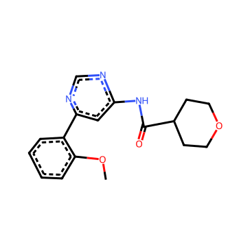 COc1ccccc1-c1cc(NC(=O)C2CCOCC2)ncn1